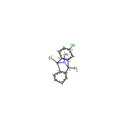 CCCN1C2(CC)c3ccccc3C1(CC)c1cc(Br)ccc12